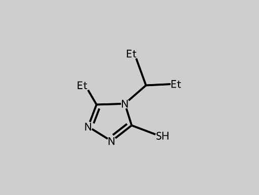 CCc1nnc(S)n1C(CC)CC